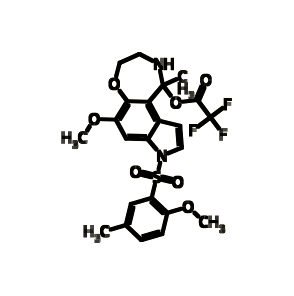 COc1ccc(C)cc1S(=O)(=O)n1ccc2c3c(c(OC)cc21)OCCNC3(C)OC(=O)C(F)(F)F